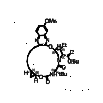 CC[C@@H]1[C@@H]2CN(C(=O)[C@H](C(C)(C)C)NC(=O)O[C@@H]3C[C@H]3CCCCCc3nc4ccc(OC)cc4nc3O2)[C@@H]1C(=O)OCC(C)C